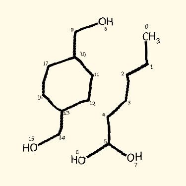 CCCCCC(O)O.OCC1CCC(CO)CC1